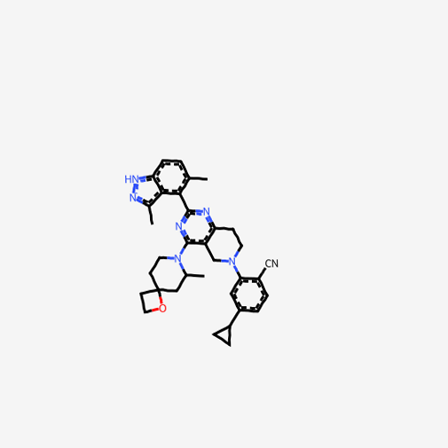 Cc1ccc2[nH]nc(C)c2c1-c1nc2c(c(N3CCC4(CCO4)CC3C)n1)CN(c1cc(C3CC3)ccc1C#N)CC2